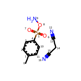 Cc1ccc(S(=O)(=O)ON)cc1.N#CCC#N